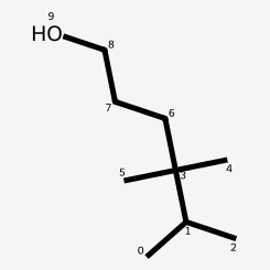 CC(C)C(C)(C)CCCO